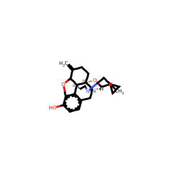 C=C1CC[C@@]2(OCCC)[C@H]3Cc4ccc(O)c5c4[C@@]2(CCN3CC2CC2)C1O5